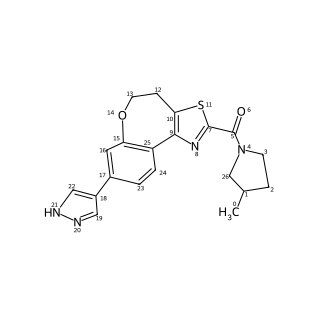 CC1CCN(C(=O)c2nc3c(s2)CCOc2cc(-c4cn[nH]c4)ccc2-3)C1